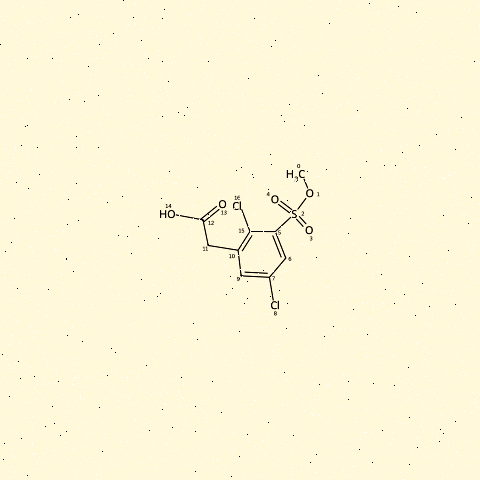 COS(=O)(=O)c1cc(Cl)cc(CC(=O)O)c1Cl